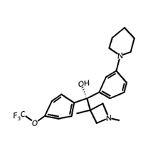 CN1CC(C)([C@@](O)(c2ccc(OC(F)(F)F)cc2)c2cccc(N3CCCCC3)c2)C1